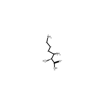 NCCCC(N)[C@H](N)C(=O)O